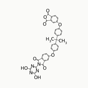 CC(C)(c1ccc(Oc2ccc3c(c2)C(=O)OC3=O)cc1)c1ccc(Oc2ccc3c(c2)C(=O)N(c2nc(O)nc(O)n2)C3=O)cc1